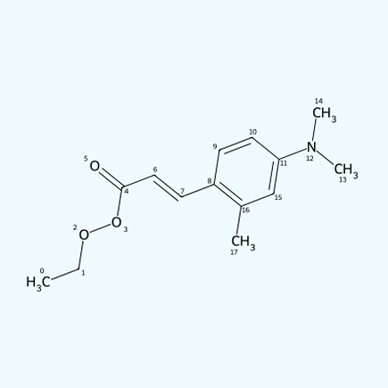 CCOOC(=O)C=Cc1ccc(N(C)C)cc1C